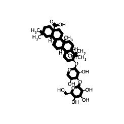 CC1(C)CC[C@]2(C(=O)O)CCC3C(=CC[C@@H]4[C@@]5(C)CC[C@H](O[C@@H]6OC[C@@H](O)[C@H](OC7O[C@H](CO)[C@H](O)[C@H](O)[C@H]7O)[C@H]6O)C(C)(C)[C@@H]5CC[C@@]34C)[C@@H]2C1